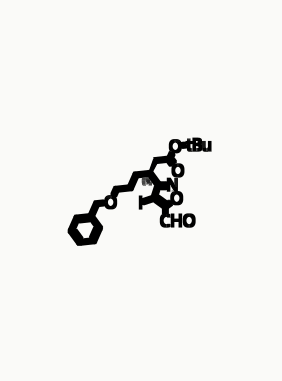 CC(C)(C)OC(=O)C[C@H](CCCOCc1ccccc1)c1noc(C=O)c1I